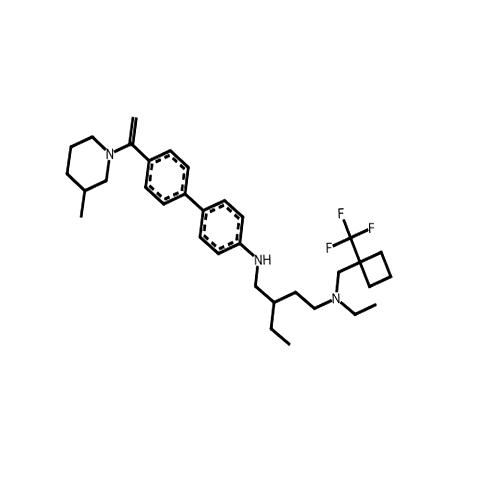 C=C(c1ccc(-c2ccc(NCC(CC)CCN(CC)CC3(C(F)(F)F)CCC3)cc2)cc1)N1CCCC(C)C1